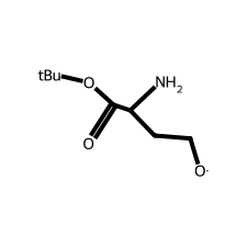 CC(C)(C)OC(=O)C(N)CC[O]